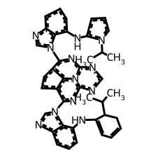 CC(C)C1CC=CC=C1Nc1cccc2ncn(-c3nc4ncnc5nc(-n6cnc7cccc(Nc8cccn8C(C)C)c76)c6ccc3c6n45)c12